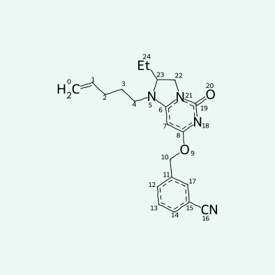 C=CCCCN1c2cc(OCc3cccc(C#N)c3)nc(=O)n2CC1CC